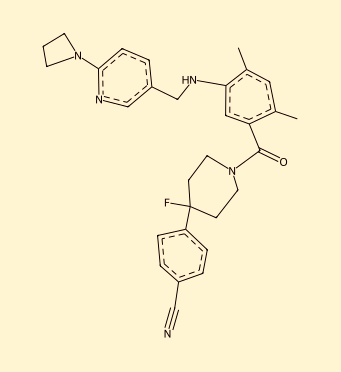 Cc1cc(C)c(C(=O)N2CCC(F)(c3ccc(C#N)cc3)CC2)cc1NCc1ccc(N2CCC2)nc1